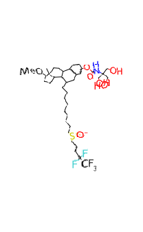 COC1CCC2C3C(CCCCCCCCC[S+]([O-])CCCC(F)(F)C(F)(F)F)Cc4cc(OC(=O)NC(CO)(CO)CO)ccc4C3CCC12C